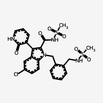 CS(=O)(=O)NCc1ccccc1Cn1c(C(=O)NS(C)(=O)=O)c(-c2ccc[nH]c2=O)c2cc(Cl)ccc21